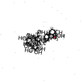 CC1=C[C@]23CC[C@H]4C(C)(C(=O)O)CCC[C@]4(C)[C@H]2CC[C@]1(O[C@@H]1O[C@H](CO)[C@@H](O)[C@H](O[C@@H]2O[C@H](CO)[C@@H](O)[C@H](O)[C@H]2O)[C@H]1O[C@@H]1O[C@H](CO)[C@@H](O)[C@H](O)[C@H]1O)C3